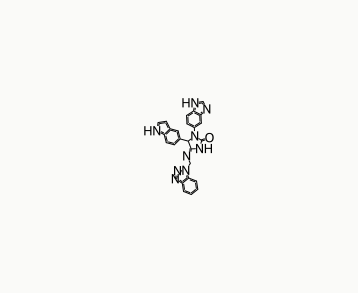 O=C1N/C(=N\Cn2nnc3ccccc32)C(c2ccc3[nH]ccc3c2)N1c1ccc2[nH]cnc2c1